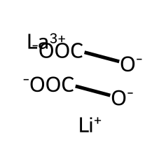 O=C([O-])[O-].O=C([O-])[O-].[La+3].[Li+]